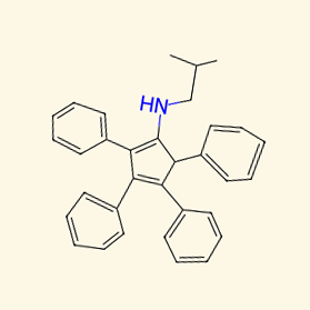 CC(C)CNC1=C(c2ccccc2)C(c2ccccc2)=C(c2ccccc2)C1c1ccccc1